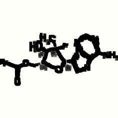 CC(C)C(=O)OC[C@H]1O[C@@H](c2cnc3c(N)ncnn23)[C@](C)(F)[C@@H]1O